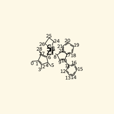 CC1=C(C)C(C)[C]([Zr]([CH]2C=C(c3ccccc3)c3ccccc32)=[Si]2CCC2)=C1C